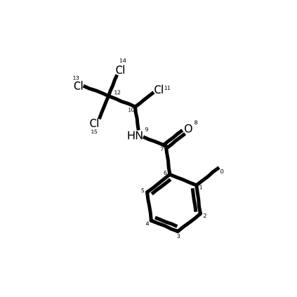 Cc1ccccc1C(=O)NC(Cl)C(Cl)(Cl)Cl